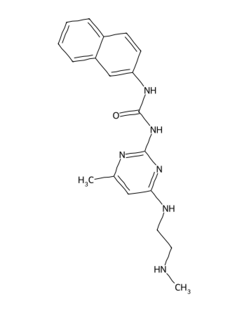 CNCCNc1cc(C)nc(NC(=O)Nc2ccc3ccccc3c2)n1